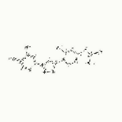 CCCn1cc(-n2cc(-c3ccc(O[C@H](C)C(C)C)cc3Cl)cn2)ccc1=O